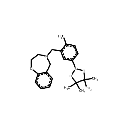 Cc1ccc(B2OC(C)(C)C(C)(C)O2)cc1CN1CCOc2ccccc2C1